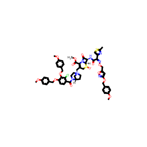 BOC(=O)C1=C(C[N@@+]23CC[C@@H](C2)N(C(=O)c2ccc(OCc4ccc(OC)cc4)c(OCc4ccc(OC)cc4)c2Cl)CC3)C[S+]([O-])[C@@H]2[C@H](NC(=O)/C(=N\OCc3cc(OCc4ccc(OC)cc4)no3)c3csc(C)n3)C(=O)N12